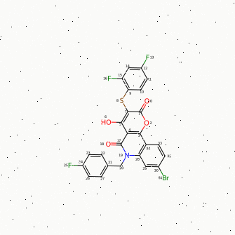 O=c1oc2c(c(O)c1Sc1ccc(F)cc1F)c(=O)n(Cc1ccc(F)cc1)c1cc(Br)ccc21